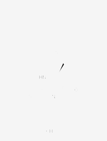 C=CCN1C(=O)[C@H](CSCc2ccccc2)NC1=S